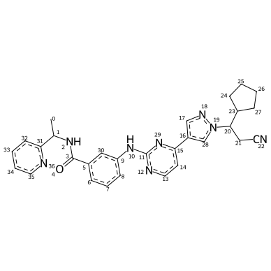 CC(NC(=O)c1cccc(Nc2nccc(-c3cnn(C(CC#N)C4CCCC4)c3)n2)c1)c1ccccn1